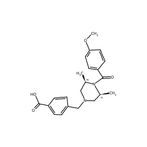 COc1ccc(C(=O)N2[C@H](C)CN(Cc3ccc(C(=O)O)cc3)C[C@@H]2C)cc1